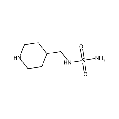 NS(=O)(=O)NCC1CCNCC1